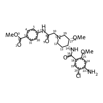 COC(=O)c1ccc(NC(=O)CN2CC[C@@H](NC(=O)c3cc(Cl)c(N)cc3OC)[C@@H](OC)C2)cc1